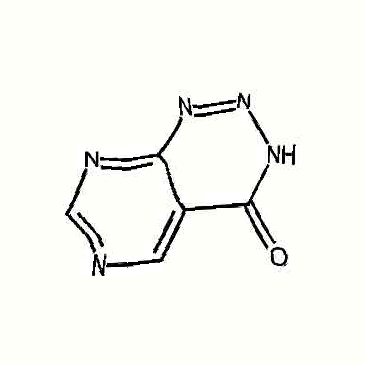 O=c1[nH]nnc2ncncc12